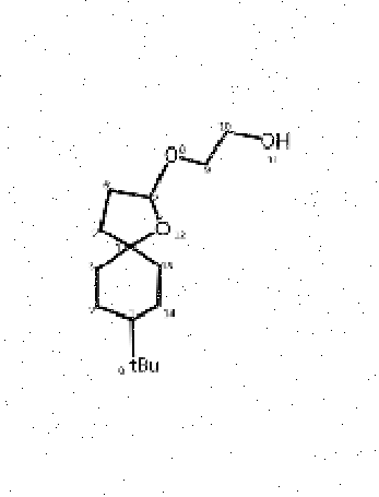 CC(C)(C)C1CCC2(CCC(OCCO)O2)CC1